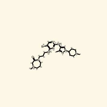 Cc1nn(C2CCN(C)CC2)cc1Nc1ncc(Br)c(NCCCN2CCCN(C)CC2=O)n1